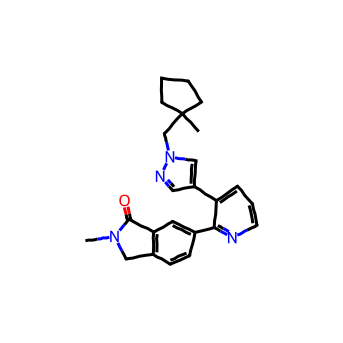 CN1Cc2ccc(-c3ncccc3-c3cnn(CC4(C)CCCC4)c3)cc2C1=O